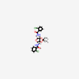 CC1(C)O[C@@H]2[C@@H](CNC(=O)c3ccccc3Cl)OC[C@]2(CNC(=O)c2ccccc2Cl)O1